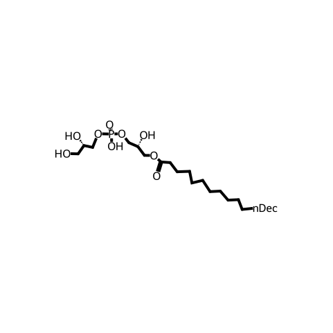 CCCCCCCCCCCCCCCCCCCCC(=O)OC[C@@H](O)COP(=O)(O)OC[C@@H](O)CO